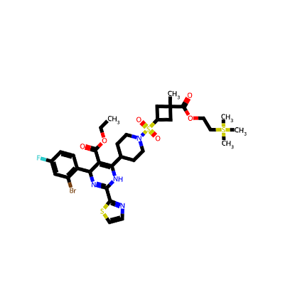 CCOC(=O)C1=C(C2CCN(S(=O)(=O)C3CC(C)(C(=O)OCCS(C)(C)C)C3)CC2)NC(c2nccs2)=NC1c1ccc(F)cc1Br